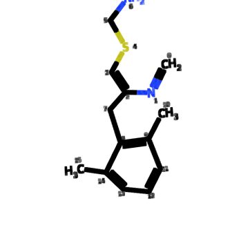 C=N/C(=C\SCN)Cc1c(C)cccc1C